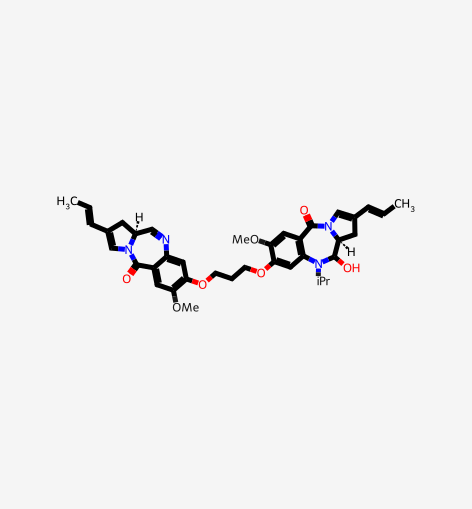 C/C=C/C1=CN2C(=O)c3cc(OC)c(OCCCOc4cc5c(cc4OC)C(=O)N4C=C(/C=C/C)C[C@H]4C(O)N5C(C)C)cc3N=C[C@@H]2C1